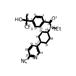 CCN(C(=O)c1ccc(C(C)(O)C(F)(F)F)cc1)C1CCC(c2ccc(C#N)nc2)CC1